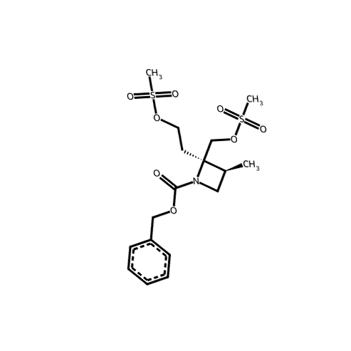 C[C@H]1CN(C(=O)OCc2ccccc2)[C@@]1(CCOS(C)(=O)=O)COS(C)(=O)=O